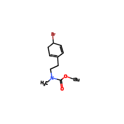 CN(CCC1=CCC(Br)C=C1)C(=O)OC(C)(C)C